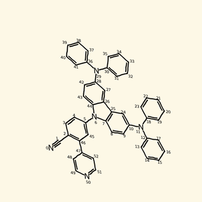 N#Cc1ccc(-n2c3ccc(N(c4ccccc4)c4ccccc4)cc3c3cc(N(c4ccccc4)c4ccccc4)ccc32)cc1-c1ccncc1